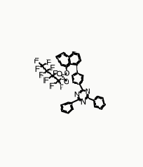 O=S(=O)(Oc1cccc2cccc(-c3ccc(-c4nc(-c5ccccc5)nc(-c5ccccc5)n4)cc3)c12)C(F)(F)C(F)(F)C(F)(F)C(F)(F)F